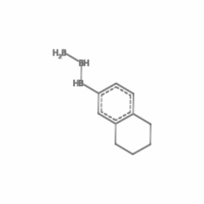 BBBc1ccc2c(c1)CCCC2